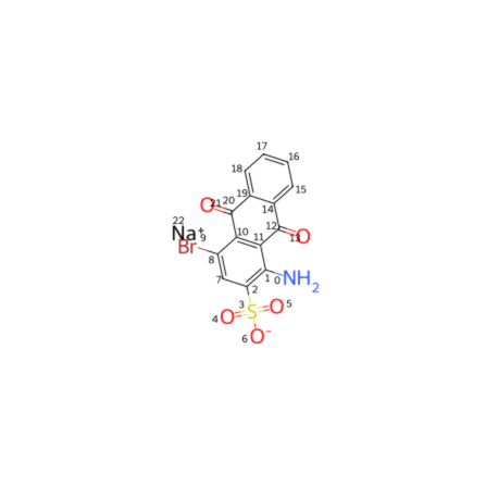 Nc1c(S(=O)(=O)[O-])cc(Br)c2c1C(=O)c1ccccc1C2=O.[Na+]